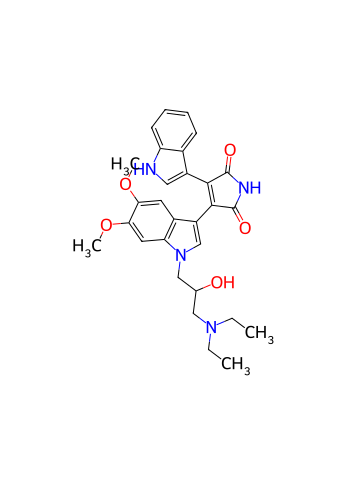 CCN(CC)CC(O)Cn1cc(C2=C(c3c[nH]c4ccccc34)C(=O)NC2=O)c2cc(OC)c(OC)cc21